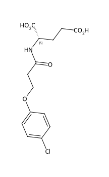 O=C(O)CC[C@H](NC(=O)CCOc1ccc(Cl)cc1)C(=O)O